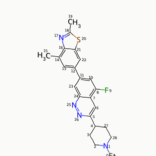 CCN1CCC(c2cc3c(F)cc(-c4cc(C)c5nc(C)sc5c4)cc3nn2)CC1